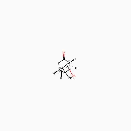 CCCCC[C@@H]1[C@@H]2CC[C@@H](C(=O)C2)[C@H]1O